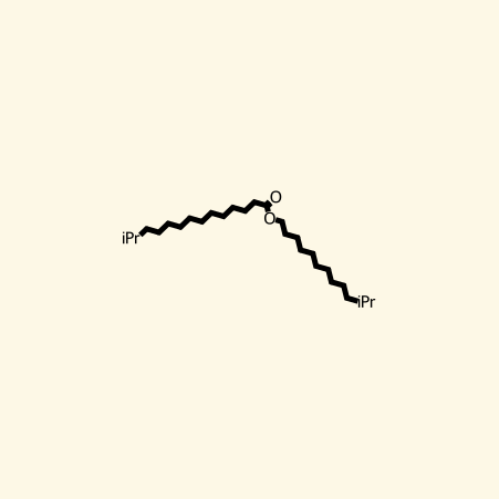 CC(C)CCCCCCCCCCCC(=O)OCCCCCCCCCCC(C)C